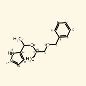 CC(O[C@H](C)COCc1ccccc1)c1ccn[nH]1